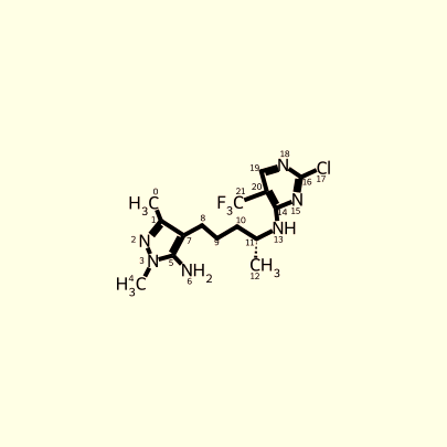 Cc1nn(C)c(N)c1CCC[C@@H](C)Nc1nc(Cl)ncc1C(F)(F)F